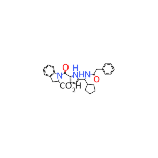 O=C(Cc1ccccc1)N[C@H](c1ccc(C(=O)N2c3ccccc3CC2C(=O)O)[nH]1)C1CCCC1